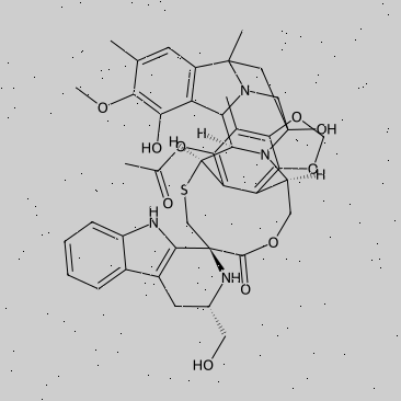 COc1c(C)cc2c(c1O)C1[C@@H]3[C@@H]4SC[C@]5(N[C@H](CO)Cc6c5[nH]c5ccccc65)C(=O)OC[C@@H](c5c6c(c(C)c(OC(C)=O)c54)OCO6)N3C3(O)CN1C2(C)C3